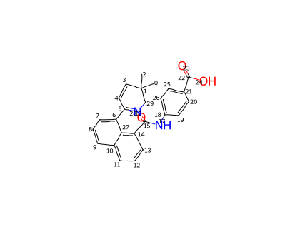 CC1(C)C=CC(c2cccc3cccc(C(=O)Nc4ccc(C(=O)O)cc4)c23)=NC1